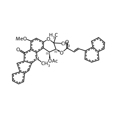 COc1cc2c(c3c1c(=O)c1cc4ccccc4cc1n3C)[C@H](OC(C)=O)[C@H](OC(=O)C=Cc1cccc3ccccc13)C(C)(C)O2